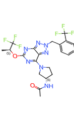 CC(=O)N[C@H]1CCN(c2nc(O[C@@H](C)C(F)(F)F)nc3nn(Cc4ccccc4C(F)(F)F)nc23)C1